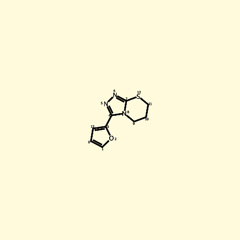 c1coc(-c2nnc3n2CCCS3)c1